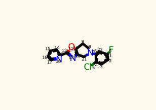 Fc1ccc(Cl)c(N2CCc3oc(-c4ccccn4)nc3C2)c1